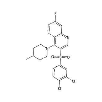 CC1CCN(c2c(S(=O)(=O)c3ccc(Cl)c(Cl)c3)cnc3cc(F)ccc23)CC1